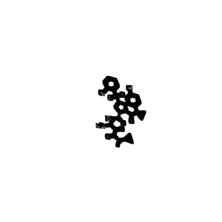 CCCC(NC(=O)[C@@H]1C[C@@H](S(=O)(=O)c2ccccc2Cl)CN1C(=O)C1(c2ccc(Cl)cc2)CC1)C(=O)C(=O)N(C)C1CC1